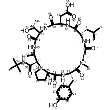 CC(C)C[C@@H]1NC(=O)CN(C)C(=O)[C@H](Cc2ccc(O)cc2)NC(=O)[C@@H]2CCCN2[C@@H](C(=O)NC(C)(C)C)C(C)NC(=O)C([C@@H](C)O)NC(=O)[C@@H](CC(=O)O)NC1=O